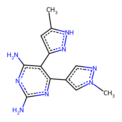 Cc1cc(-c2c(N)nc(N)nc2-c2cnn(C)c2)n[nH]1